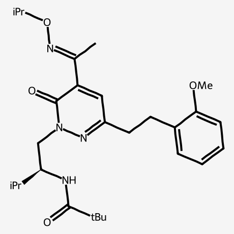 COc1ccccc1CCc1cc(/C(C)=N/OC(C)C)c(=O)n(C[C@@H](NC(=O)C(C)(C)C)C(C)C)n1